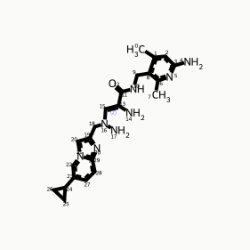 Cc1cc(N)nc(C)c1CNC(=O)/C(N)=C/N(N)Cc1cn2cc(C3CC3)ccc2n1